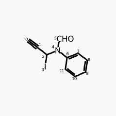 C#CC(I)N(C=O)c1ccccc1